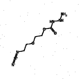 [N-]=[N+]=NCCOCCOC(=O)NNN